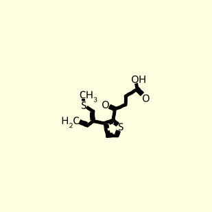 C=C/C(=C\SC)c1ccsc1C(=O)CCC(=O)O